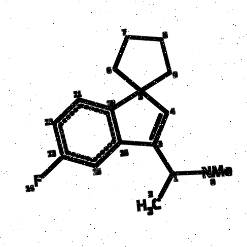 CNC(C)C1=CC2(CCCC2)c2ccc(F)cc21